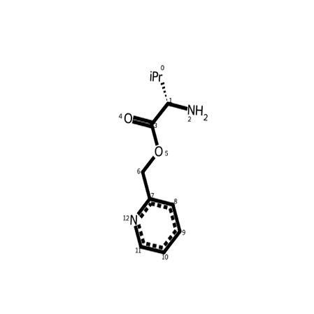 CC(C)[C@H](N)C(=O)OCc1ccccn1